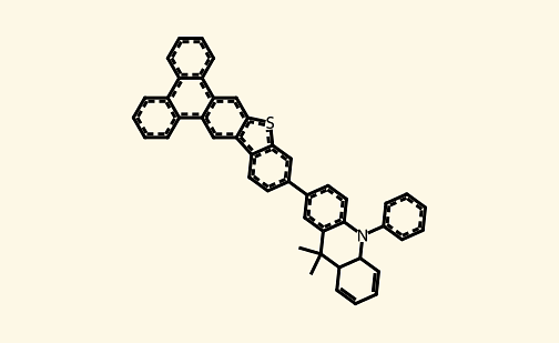 CC1(C)c2cc(-c3ccc4c(c3)sc3cc5c6ccccc6c6ccccc6c5cc34)ccc2N(c2ccccc2)C2C=CC=CC21